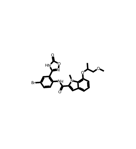 COCC(C)Oc1cccc2cc(C(=O)Nc3ccc(Br)cc3-c3noc(=O)[nH]3)n(C)c12